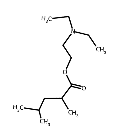 CCN(CC)CCOC(=O)C(C)CC(C)C